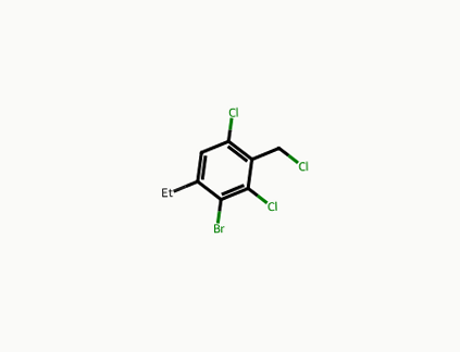 CCc1cc(Cl)c(CCl)c(Cl)c1Br